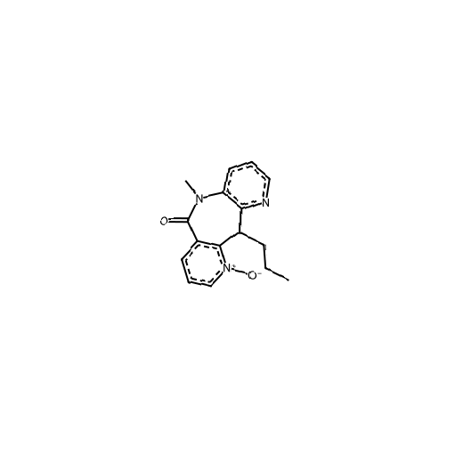 CCCC1c2ncccc2N(C)C(=O)c2ccc[n+]([O-])c21